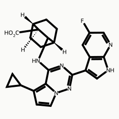 O=C(O)[C@@H]1C(Nc2nc(-c3c[nH]c4ncc(F)cc34)nn3ccc(C4CC4)c23)[C@H]2CC[C@@H]1CC2